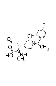 CNN(C(=O)O)C(CC=O)C1CCN(C(C)c2ccc(F)cc2Cl)CC1